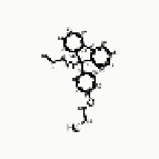 CCCOC1(c2ccc(OCCO)cc2)c2ccccc2-c2ccccc21